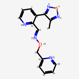 Cc1nsnc1-c1cccnc1C=NOCc1ccccn1